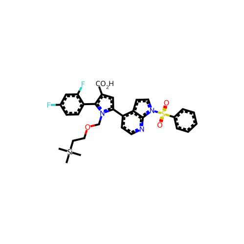 C[Si](C)(C)CCOCn1c(-c2ccnc3c2ccn3S(=O)(=O)c2ccccc2)cc(C(=O)O)c1-c1ccc(F)cc1F